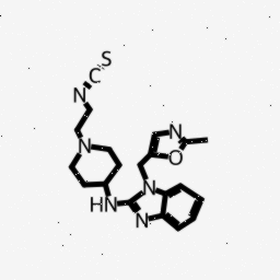 Cc1ncc(Cn2c(NC3CCN(CCN=C=S)CC3)nc3ccccc32)o1